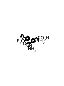 Nc1nc(O[C@@H](c2ccccc2-c2nccs2)C(F)(F)F)cc(-c2ccc(CC(N)C(=O)O)cc2)n1